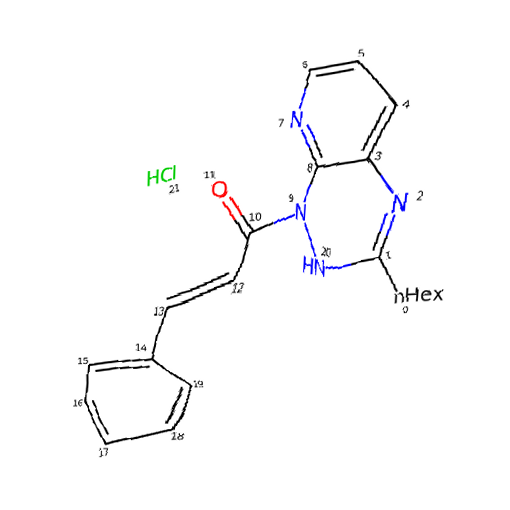 CCCCCCC1=Nc2cccnc2N(C(=O)C=Cc2ccccc2)N1.Cl